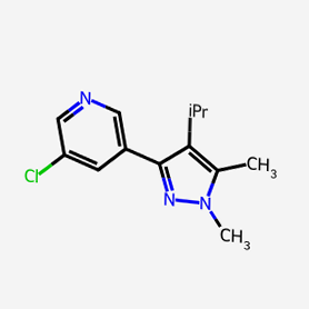 Cc1c(C(C)C)c(-c2cncc(Cl)c2)nn1C